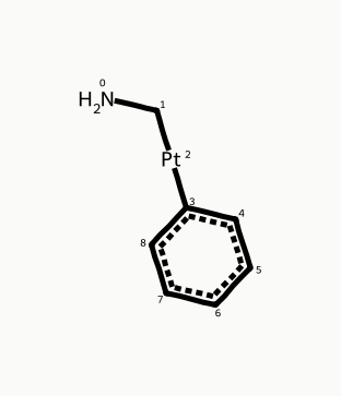 N[CH2][Pt][c]1ccccc1